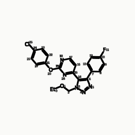 CCOCn1nnc(-c2ccc(F)cc2)c1-c1ccnc(Oc2ccc(Cl)cc2)n1